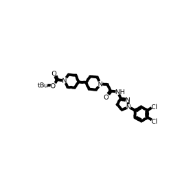 CC(C)(C)OC(=O)N1CCC(C2CCN(CC(=O)NC3=NN(c4ccc(Cl)c(Cl)c4)CC3)CC2)CC1